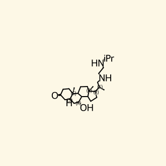 CC(C)NCCNC[C@@H](C)[C@H]1CCC2C3C(CC[C@@]21C)[C@@]1(C)CCC(=O)C[C@@H]1C[C@H]3O